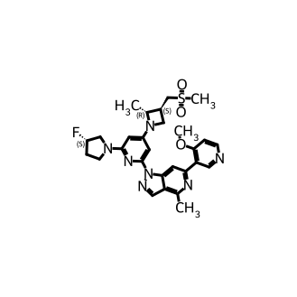 COc1ccncc1-c1cc2c(cnn2-c2cc(N3C[C@H](CS(C)(=O)=O)[C@H]3C)cc(N3CC[C@H](F)C3)n2)c(C)n1